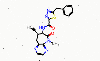 C#C[C@@H]1Cc2nccnc2N(C)C(=O)[C@@H]1NC(=O)c1nnc(Cc2ccccc2)s1